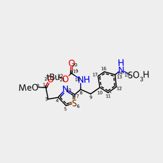 COC(=O)Cc1csc(C(Cc2[c]cc(NS(=O)(=O)O)cc2)NC(=O)OC(C)(C)C)n1